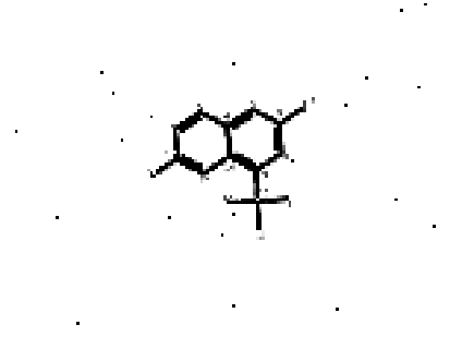 Cc1ccc2cc(I)cc(C(C)(C)C)c2c1